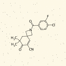 CC1(C)CC2(C=C(C#N)C1=O)CN(C(=O)c1ccc(Cl)c(F)c1)C2